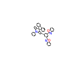 c1ccc2c(c#1)-c1ccccc1C21c2ccccc2N(c2ccccc2)c2ccc(-c3cc(-c4nc5ccccc5o4)cc(-c4nc5ccccc5o4)c3)cc21